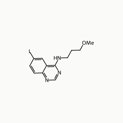 COCCCNc1ncnc2ccc(I)cc12